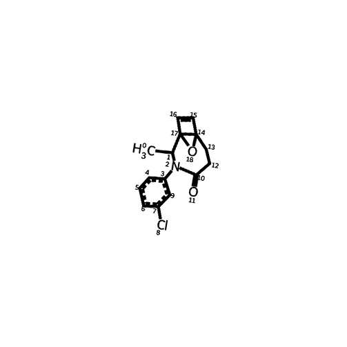 CC1N(c2cccc(Cl)c2)C(=O)CCC23C=CC12O3